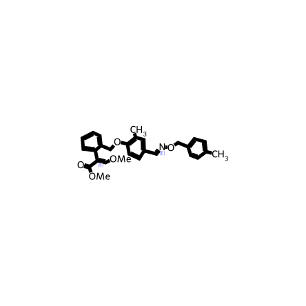 CO/C=C(/C(=O)OC)c1ccccc1COc1ccc(/C=N/OCc2ccc(C)cc2)cc1C